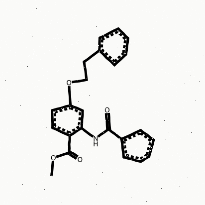 COC(=O)c1ccc(OCCc2ccccc2)cc1NC(=O)c1ccccc1